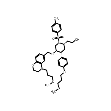 COCCCOc1ccc([C@H]2C[C@H](CCO)N(S(=O)(=O)c3ccc(C)cc3)C[C@@H]2OCc2ccc3c(c2)N(CCCOC)CCO3)cc1